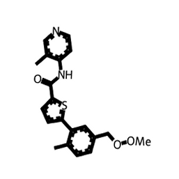 COOCc1ccc(C)c(-c2ccc(C(=O)Nc3ccncc3C)s2)c1